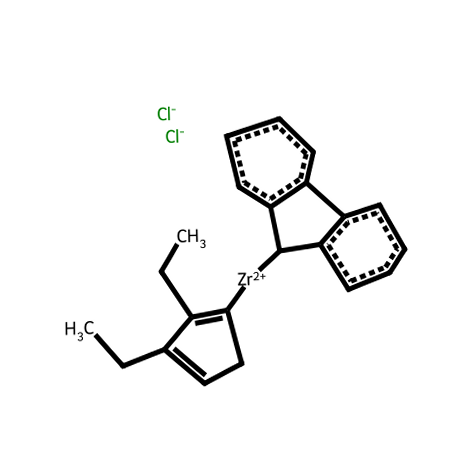 CCC1=CC[C]([Zr+2][CH]2c3ccccc3-c3ccccc32)=C1CC.[Cl-].[Cl-]